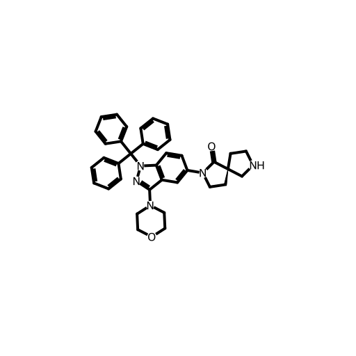 O=C1N(c2ccc3c(c2)c(N2CCOCC2)nn3C(c2ccccc2)(c2ccccc2)c2ccccc2)CC[C@]12CCNC2